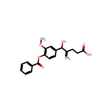 C=C(CCC(=O)O)C(O)c1ccc(OC(=O)c2ccccc2)c(OC)c1